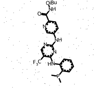 CC(C)CONC(=O)c1ccc(Nc2ncc(C(F)(F)F)c(Nc3ccccc3P(C)C)n2)cn1